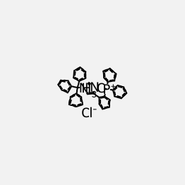 C[P+](c1ccccc1)(c1ccccc1)c1ccccc1-c1cn(C(c2ccccc2)(c2ccccc2)c2ccccc2)cn1.[Cl-]